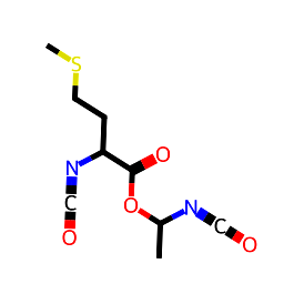 CSCCC(N=C=O)C(=O)OC(C)N=C=O